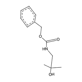 CC(C)(O)CNC(=O)OCc1ccccc1